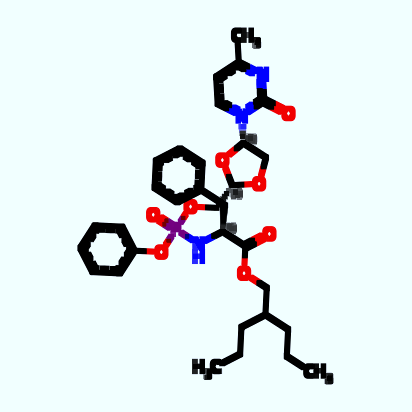 CCCC(CCC)COC(=O)[C@H](Cc1ccccc1)NP(=O)(OC[C@H]1OC[C@@H](n2ccc(C)nc2=O)O1)Oc1ccccc1